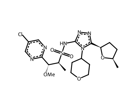 CO[C@H](c1ncc(Cl)cn1)[C@H](C)S(=O)(=O)Nc1nnc([C@H]2CC[C@@H](C)O2)n1C1CCOCC1